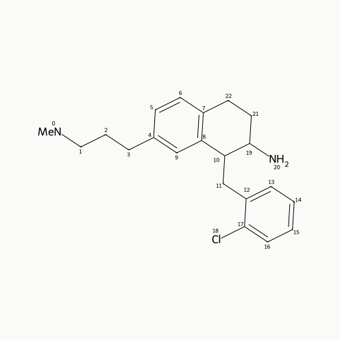 CNCCCc1ccc2c(c1)C(Cc1ccccc1Cl)C(N)CC2